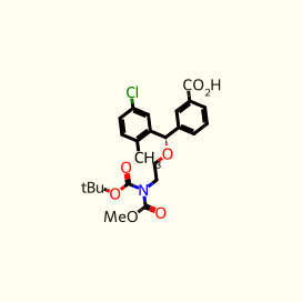 COC(=O)N(CCO[C@@H](c1cccc(C(=O)O)c1)c1cc(Cl)ccc1C)C(=O)OC(C)(C)C